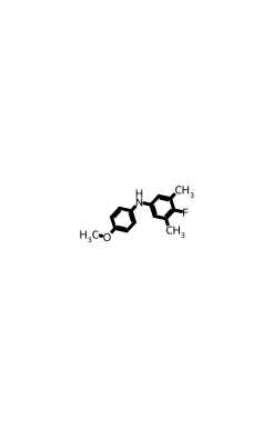 COc1ccc(Nc2cc(C)c(F)c(C)c2)cc1